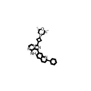 C[C@@H]1CN(C2CC(c3nc(-c4ccc5ccc(-c6ccccc6)nc5c4)c4c(N)nccn34)C2)C[C@H](C)O1